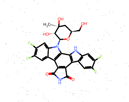 C[C@]1(O)C[C@@H](CO)O[C@@H](n2c3cc(F)c(F)cc3c3c4c(c5c6cc(F)c(F)cc6[nH]c5c32)C(=O)NC4=O)[C@@H]1O